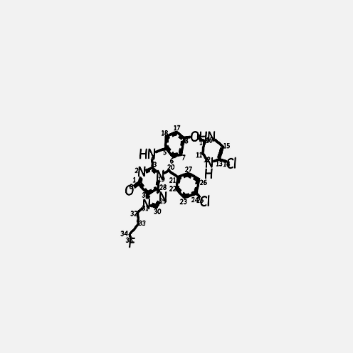 O=c1nc(Nc2ccc(OC3CNC(Cl)=CN3)cc2)n(Cc2ccc(Cl)cc2)c2ncn(CCCF)c12